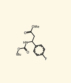 COC(=O)CC(NC(=O)OC(C)(C)C)c1ccc(F)cc1